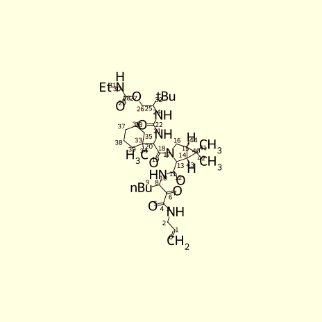 C=CCNC(=O)C(=O)C(CCCC)NC(=O)C1[C@@H]2[C@H](CN1C(=O)C(NC(=O)NC(COC(=O)NCC)C(C)(C)C)C1(C)CCCCC1)C2(C)C